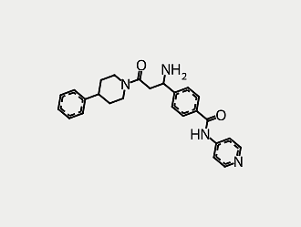 NC(CC(=O)N1CCC(c2ccccc2)CC1)c1ccc(C(=O)Nc2ccncc2)cc1